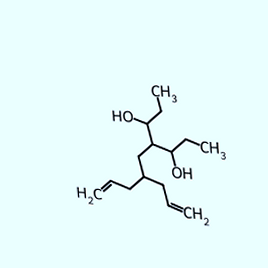 C=CCC(CC=C)CC(C(O)CC)C(O)CC